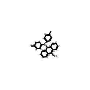 Cc1ccc(N(c2ccc(C)cc2)c2c3ccccc3c(N)c3ccccc23)cc1